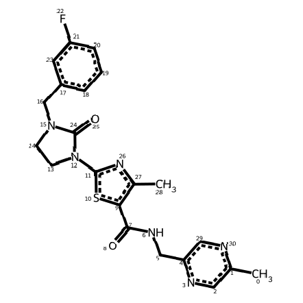 Cc1cnc(CNC(=O)c2sc(N3CCN(Cc4cccc(F)c4)C3=O)nc2C)cn1